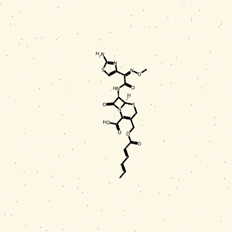 C/C=C/C=C/C(=O)OCC1=C(C(=O)O)N2C(=O)[C@@H](NC(=O)/C(=N\OC)c3csc(N)n3)[C@H]2SC1